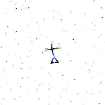 ClC(Cl)(Cl)N1CC1